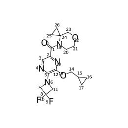 O=C(c1cnc(N2CC(F)(F)C2)c(OCC2CC2)n1)N1CCOCC12CC2